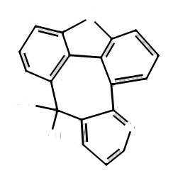 CC1(C)c2cccnc2-c2cccc3sc4cccc1c4c23